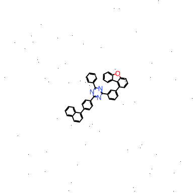 c1ccc(-c2nc(-c3ccc(-c4cccc5ccccc45)cc3)nc(-c3cccc(-c4cccc5oc6ccccc6c45)c3)n2)cc1